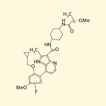 COc1cc(OCC2CC2)c(-c2ccnc3c(C(=O)NC4CCC(NC(=O)[C@H](C)OC)CC4)c(C)[nH]c23)cc1F